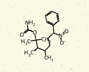 CC(CCC(c1ccccc1)[N+](=O)[O-])C(C)C(C)(C)OC(N)=O